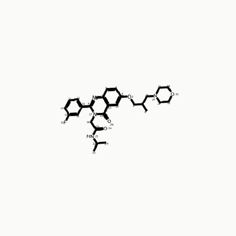 CC(COc1ccc2nc(-c3cccc(F)c3)n(CC(=O)NC(C)C)c(=O)c2c1)CN1CCOCC1